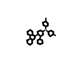 Cc1ccc(N(c2ccc(C)cc2)c2ccc(-c3cc4ccccc4c4ccccc34)c(-c3ccccc3)c2)cc1